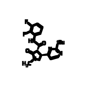 CN1C[C@H](c2ccnc(C(C)(C)C)n2)[C@@H](C(=O)Nc2cccc(F)c2F)C1=O